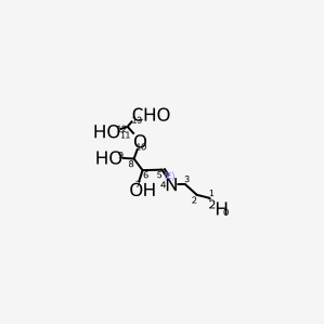 [2H]CCC/N=C/C(O)C(O)OC(O)C=O